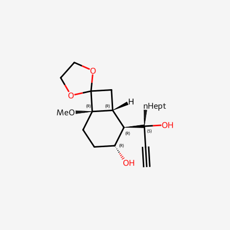 C#C[C@](O)(CCCCCCC)[C@H]1[C@H](O)CC[C@@]2(OC)[C@@H]1CC21OCCO1